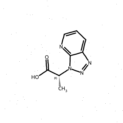 C[C@H](C(=O)O)n1nnc2cccnc21